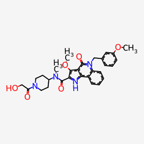 COc1cccc(Cn2c(=O)c3c(OC)c(C(=O)N(C)C4CCN(C(=O)CO)CC4)[nH]c3c3ccccc32)c1